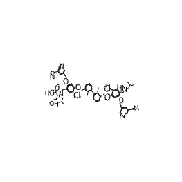 Cc1c(COc2cc(OCc3cncc(C#N)c3)c(CNCC(C)C)cc2Cl)cccc1-c1cccc(COc2cc(OCc3cncc(C4=NC4)c3)c(CN(CC(C)C)C(CCO)C(=O)O)cc2Cl)c1C